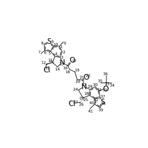 Cc1cc2c(c3c(C)csc13)[C@H](CCl)CN2C(=O)CCCC(=O)N1C[C@@H](CCl)c2c1cc(OC(C)(C)C)c1scc(C)c21